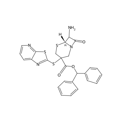 NC1C(=O)N2CC(Sc3nc4cccnc4s3)(C(=O)OC(c3ccccc3)c3ccccc3)CS[C@H]12